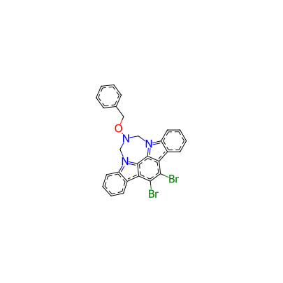 Brc1c(Br)c2c3ccccc3n3c2c2c1c1ccccc1n2CN(OCc1ccccc1)C3